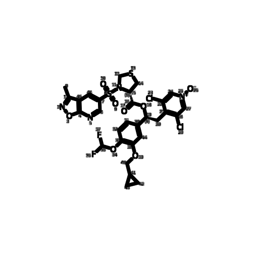 Cc1noc2ncc(S(=O)(=O)N3CSC[C@@H]3C(=O)O[C@@H](Cc3c(Cl)c[n+]([O-])cc3Cl)c3ccc(OC(F)F)c(OCC4CC4)c3)cc12